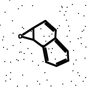 C1=CC2OC2c2ccccc21